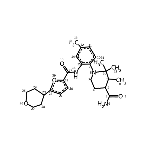 CC1C(C(N)=O)CCN(c2ccc(C(F)(F)F)cc2NC(=O)c2ccc(C3CCOCC3)o2)C1(C)C